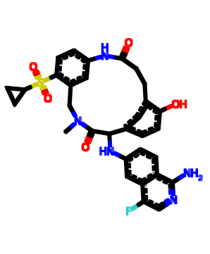 CN1Cc2cc(ccc2S(=O)(=O)C2CC2)NC(=O)CCc2cc(ccc2O)C(Nc2ccc3c(N)ncc(F)c3c2)C1=O